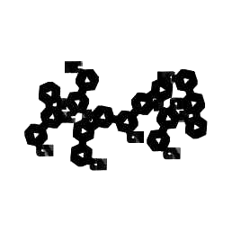 N#Cc1cccc(-c2cc(-n3c4ccccc4c4cc(-c5cccc(C#N)c5)ccc43)c(C#N)c(-n3c4ccc(-c5cccc(C#N)c5)cc4c4cc(-c5cc(C#N)cc(-c6ccc7c8ccccc8n(-c8cc(-c9cccc(C#N)c9)cc(-n9c%10ccccc%10c%10ccc(-c%11cccc(C#N)c%11)cc%109)c8C#N)c7c6)c5)ccc43)c2)c1